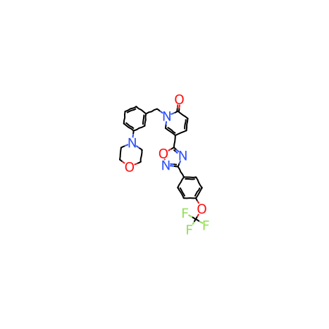 O=c1ccc(-c2nc(-c3ccc(OC(F)(F)F)cc3)no2)cn1Cc1cccc(N2CCOCC2)c1